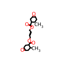 CC1CC2OC2CC1C(=O)OC/C=C/COC(=O)C1CC2OC2CC1C